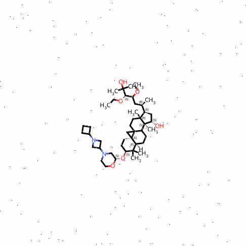 CCO[C@@H](C(C[C@@H](C)[C@H]1C[C@H](O)[C@@]2(C)C3CC[C@H]4C(C)(C)[C@@H](O[C@H]5CN(C6CN(C7CCC7)C6)CCO5)CC[C@@]45CC35CC[C@]12C)OC)C(C)(C)O